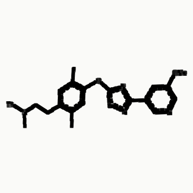 CCN(C)CCc1cc(C)c(Oc2nc(-c3cncc(OC)c3)ns2)cc1C